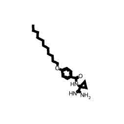 CCCCCCCCCCCOc1ccc(C(=O)NC2(C(=N)N)CC2)cc1